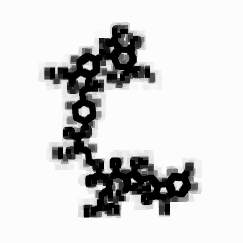 CCN(CC)CCN(C(=O)OCCN(C)C(=O)OC1CCC(CNc2cc(-n3nc(C(F)(F)F)c4c3CC(C)(C)CC4=O)ccc2C(N)=O)CC1)C(=O)c1c(C)[nH]c(/C=C2\C(=O)Nc3ccc(F)cc32)c1C